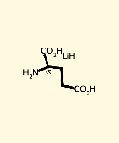 N[C@H](CCC(=O)O)C(=O)O.[LiH]